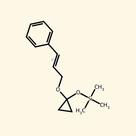 C[Si](C)(C)OC1(OC/C=C/c2ccccc2)CC1